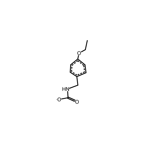 CCOc1ccc(CNC([O])=O)cc1